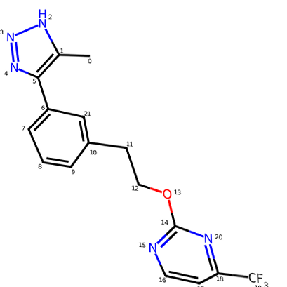 Cc1[nH]nnc1-c1cccc(CCOc2nccc(C(F)(F)F)n2)c1